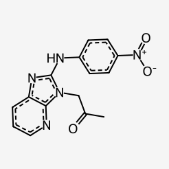 CC(=O)Cn1c(Nc2ccc([N+](=O)[O-])cc2)nc2cccnc21